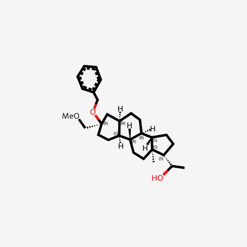 COC[C@@]1(OCc2ccccc2)CC[C@H]2[C@H](CC[C@@H]3[C@@H]2CC[C@]2(C)[C@@H](C(C)O)CC[C@@H]32)C1